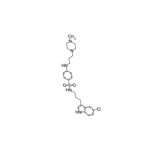 CN1CCN(CCCNc2ccc(S(=O)(=O)NCCCc3c[nH]c4ccc(Cl)cc34)cc2)CC1